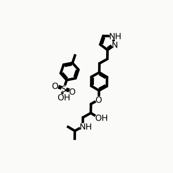 CC(C)NCC(O)COc1ccc(CCc2cc[nH]n2)cc1.Cc1ccc(S(=O)(=O)O)cc1